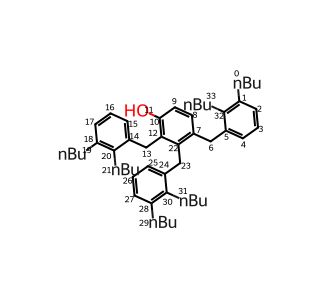 CCCCc1cccc(Cc2ccc(O)c(Cc3cccc(CCCC)c3CCCC)c2Cc2cccc(CCCC)c2CCCC)c1CCCC